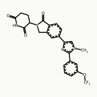 Cn1cc(-c2ccc3c(c2)CN(C2CCC(=O)NC2=O)C3=O)nc1-c1cccc(OC(F)(F)F)c1